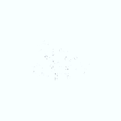 CC(C)=CCC(C(=O)OCC(Cl)(Cl)Cl)N1C(=O)C(NC(=O)Cc2ccccc2)C1SSc1nc2ccccc2s1